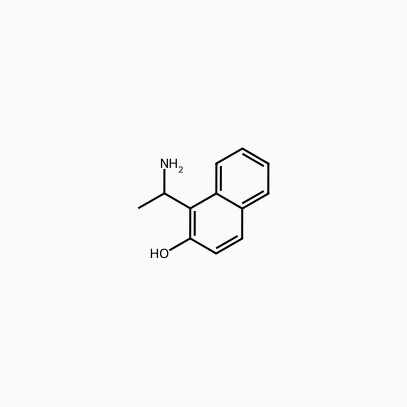 CC(N)c1c(O)ccc2ccccc12